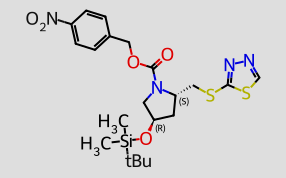 CC(C)(C)[Si](C)(C)O[C@@H]1C[C@@H](CSc2nncs2)N(C(=O)OCc2ccc([N+](=O)[O-])cc2)C1